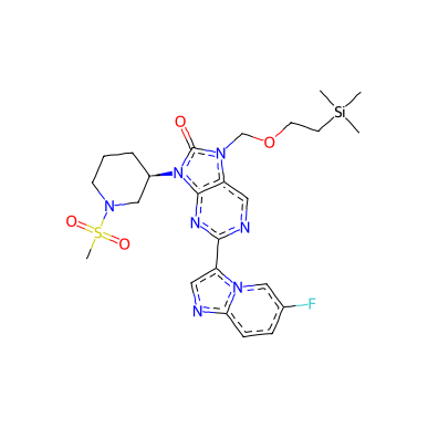 C[Si](C)(C)CCOCn1c(=O)n([C@@H]2CCCN(S(C)(=O)=O)C2)c2nc(-c3cnc4ccc(F)cn34)ncc21